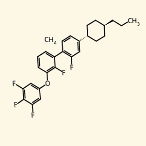 C.CCC[C@H]1CC[C@H](c2ccc(-c3cccc(Oc4cc(F)c(F)c(F)c4)c3F)c(F)c2)CC1